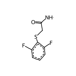 [NH]C(=O)CSc1c(F)cccc1F